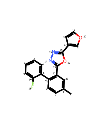 Cc1ccc(-c2ccccc2F)c(-c2nnc(-c3ccoc3)o2)c1